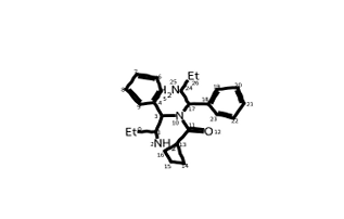 CCC(N)C(c1ccccc1)N(C(=O)C1CCC1)C(c1ccccc1)C(N)CC